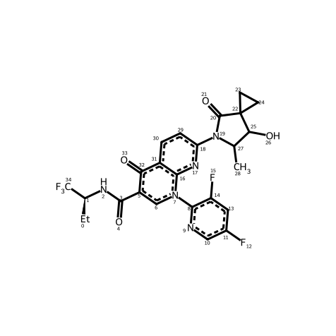 CC[C@H](NC(=O)c1cn(-c2ncc(F)cc2F)c2nc(N3C(=O)C4(CC4)C(O)C3C)ccc2c1=O)C(F)(F)F